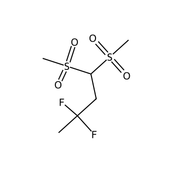 CC(F)(F)CC(S(C)(=O)=O)S(C)(=O)=O